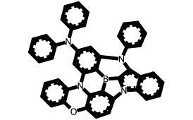 c1ccc(N(c2ccccc2)c2cc3c4c(c2)N(c2ccccc2)c2c5n(c6ccccc26)-c2ccc6c(c2B45)N3c2ccccc2O6)cc1